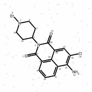 CCN1CCC(N2C(=O)c3cccc4c(N)c(Cl)cc(c34)C2=O)CC1